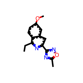 CCc1nc(-c2noc(C)n2)cc2cc(OC)ccc12